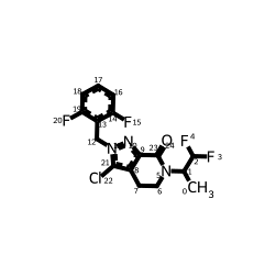 CC(C(F)F)N1CCc2c(nn(Cc3c(F)cccc3F)c2Cl)C1=O